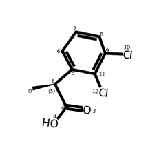 C[C@H](C(=O)O)c1cccc(Cl)c1Cl